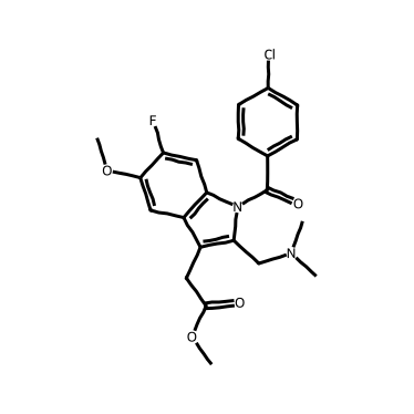 COC(=O)Cc1c(CN(C)C)n(C(=O)c2ccc(Cl)cc2)c2cc(F)c(OC)cc12